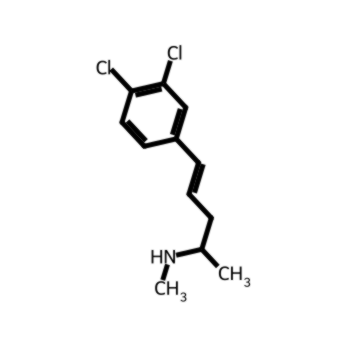 CNC(C)CC=Cc1ccc(Cl)c(Cl)c1